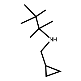 CC(C)(C)C(C)(C)NCC1CC1